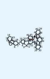 CC1(C)c2cc(-c3ccc4oc5ccccc5c4c3)ccc2-c2ccc(-n3c4ccccc4c4ccc5c6ccccc6n(-c6ccccc6)c5c43)cc21